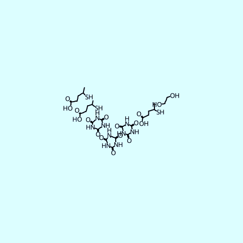 CC(S)CCC(=O)O.CC(S)CCC(=O)O.CC(S)CCC(=O)O.O=c1[nH]c(=O)[nH]c(=O)[nH]1.O=c1[nH]c(=O)[nH]c(=O)[nH]1.O=c1[nH]c(=O)[nH]c(=O)[nH]1.OCCO